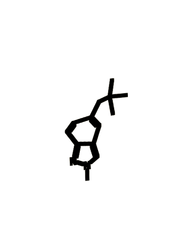 Cn1cc2cc(CC(C)(C)C)ccc2n1